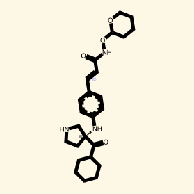 O=C(/C=C/c1ccc(N[C@]2(C(=O)C3CCCCC3)CCNC2)cc1)NOC1CCCCO1